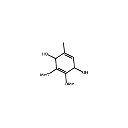 COC1=C(OC)C(O)C(C)=CC1O